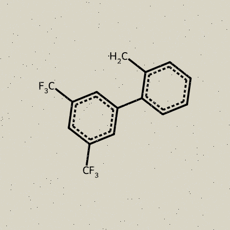 [CH2]c1ccccc1-c1cc(C(F)(F)F)cc(C(F)(F)F)c1